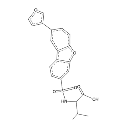 CC(C)C(NS(=O)(=O)c1ccc2c(c1)oc1ccc(-c3ccoc3)cc12)C(=O)O